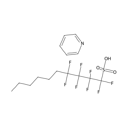 CCCCCCC(F)(F)C(F)(F)C(F)(F)C(F)(F)S(=O)(=O)O.c1ccncc1